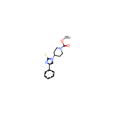 CC(C)(C)OC(=O)N1CCC(n2cc(-c3ccccc3)nc2F)CC1